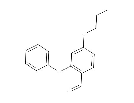 CCCOc1ccc(C=O)c(Oc2ccccc2)c1